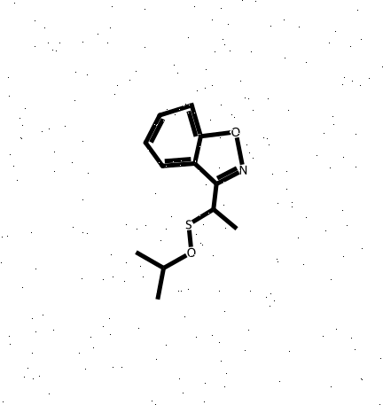 CC(C)OSC(C)c1noc2ccccc12